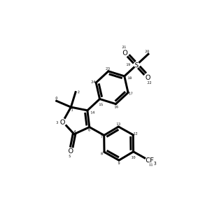 CC1(C)OC(=O)C(c2ccc(C(F)(F)F)cc2)=C1c1ccc(S(C)(=O)=O)cc1